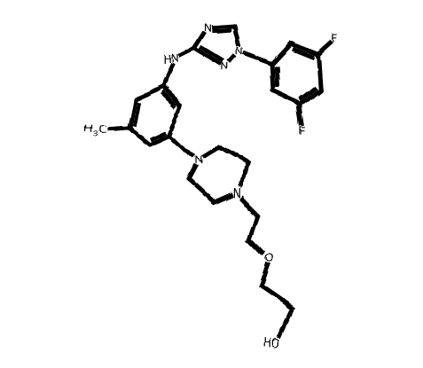 Cc1cc(Nc2ncn(-c3cc(F)cc(F)c3)n2)cc(N2CCN(CCOCCO)CC2)c1